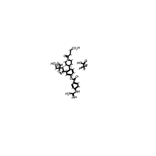 N=C(N)Nc1ccc(C(=O)Oc2ccc(C3CCN(C(=O)CCC(=O)O)CC3)c(C3=NOC(CC(=O)O)(CC(=O)O)C3)c2)cc1.O=C(O)C(F)(F)F